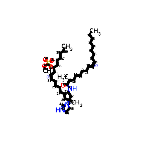 CCCCCCCC/C=C\CCCCCCC(C)C(=O)NCCC(C)(CCCCCC/C=C\CCCCCCCC)[N+]1=CNCC1.COS(=O)(=O)[O-]